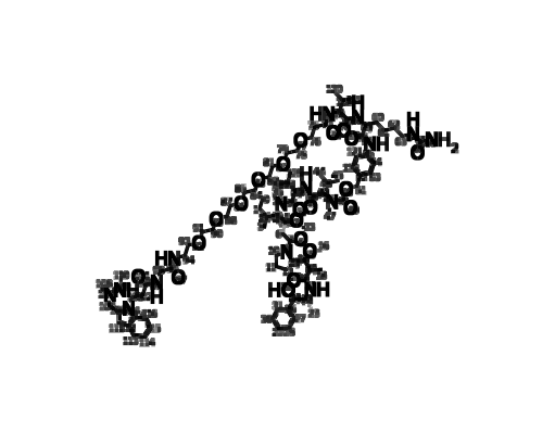 CC[C@H](C)[C@@H]([C@@H](CC(=O)N1CCC[C@H]1[C@H](OC)[C@@H](C)C(=O)N[C@H](C)[C@@H](O)c1ccccc1)OC)N(C)C(=O)[C@@H](NC(=O)[C@H](C(C)C)N(C)C(=O)OCc1ccc(NC(=O)[C@H](CCCCNC(N)=O)NC(=O)[C@@H](NC(=O)CCOCCOCCOCCOCCOCCOCCNC(=O)CNC(=O)CCn2c(CN(C)NC)cc3ccccc32)C(C)C)cc1)C(C)C